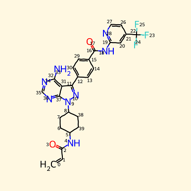 C=CC(=O)NC1CCC(n2nc(-c3ccc(C(=O)Nc4cc(C(F)(F)F)ccn4)cc3)c3c(N)ncnc32)CC1